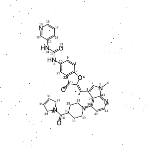 Cn1cc(C=C2Oc3ccc(NC(=O)Nc4cccnc4)cc3C2=O)c2c(N3CCC(C(=O)N4CC=CC4)CC3)ccnc21